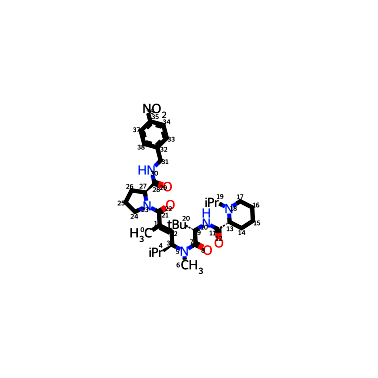 C/C(=C\[C@H](C(C)C)N(C)C(=O)[C@@H](NC(=O)[C@H]1CCCCN1C(C)C)C(C)(C)C)C(=O)N1CCC[C@H]1C(=O)NCc1ccc([N+](=O)[O-])cc1